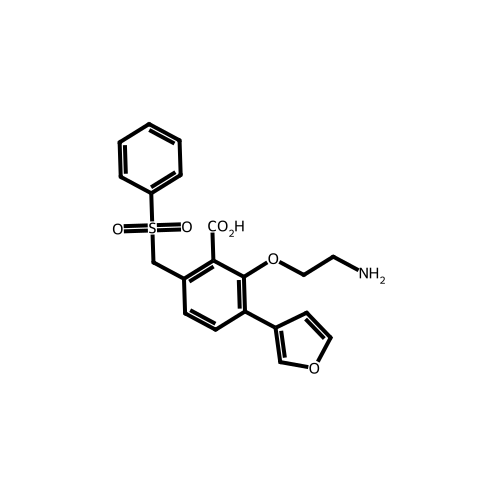 NCCOc1c(-c2ccoc2)ccc(CS(=O)(=O)c2ccccc2)c1C(=O)O